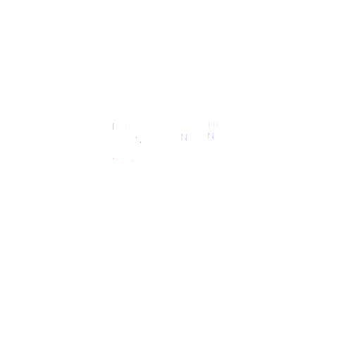 CN(C(=O)C#Cc1ccccc1)C1CCN(c2nccs2)C1.Cl